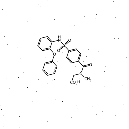 CN(CC(=O)O)C(=O)c1ccc(S(=O)(=O)Nc2ccccc2Oc2ccccc2)cc1